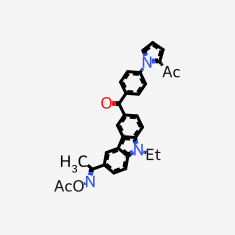 CCn1c2ccc(C(=O)c3ccc(-n4cccc4C(C)=O)cc3)cc2c2cc(C(C)=NOC(C)=O)ccc21